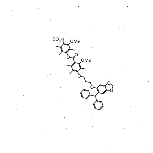 COc1c(C)c(OC(=O)c2c(C)c(C)c(OCCCOc3cc4c(cc3C(c3ccccc3)c3ccccc3)OCO4)c(C)c2OC)c(C)c(C)c1C(=O)O